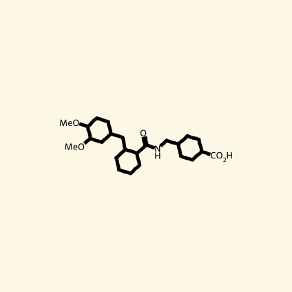 COC1CCC(CC2CCCCC2C(=O)NCC2CCC(C(=O)O)CC2)CC1OC